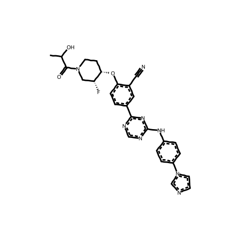 CC(O)C(=O)N1CC[C@H](Oc2ccc(-c3ncnc(Nc4ccc(-n5ccnc5)cc4)n3)cc2C#N)[C@H](F)C1